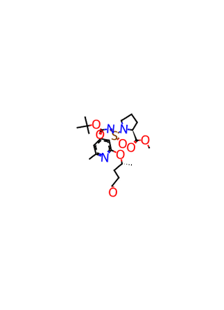 COC(=O)[C@@H]1CCCN1[S@](=O)(=NC(=O)OC(C)(C)C)c1ccc(C)nc1O[C@H](C)CCC=O